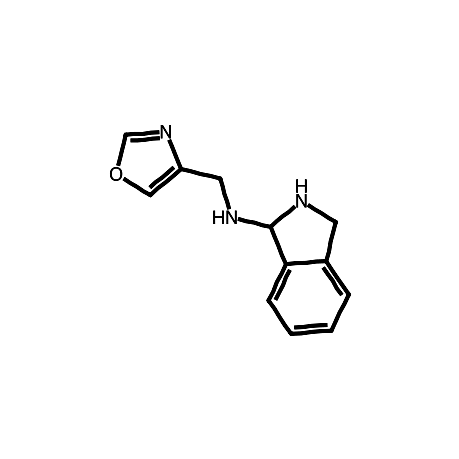 c1ccc2c(c1)CNC2NCc1cocn1